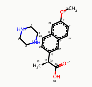 C1CNCCN1.COc1ccc2cc([C@H](C)C(=O)O)ccc2c1